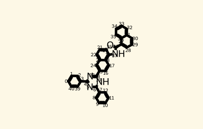 c1ccc(C2=NC(c3ccccc3)NC(c3ccc4c5c(ccc4c3)OC(c3cccc4ccccc34)N5)=N2)cc1